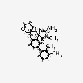 Cc1cccc(-c2ccc3c(c2)[C@]2(C[C@@]4(CCCOC4)O3)N=C(N)N(C)C2=O)c1C